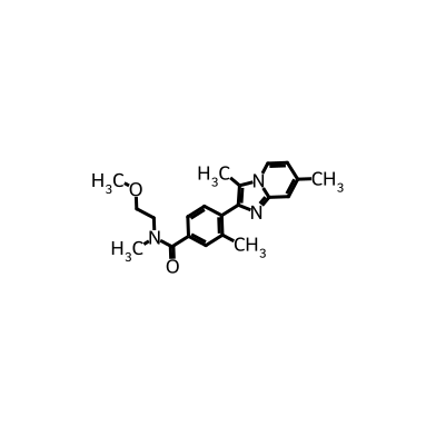 COCCN(C)C(=O)c1ccc(-c2nc3cc(C)ccn3c2C)c(C)c1